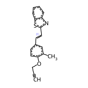 C#CCOc1ccc(/C=C/c2nc3ccccc3s2)cc1C